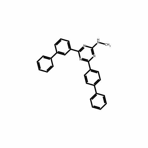 CNc1nc(-c2ccc(-c3ccccc3)cc2)nc(-c2cccc(-c3ccccc3)c2)n1